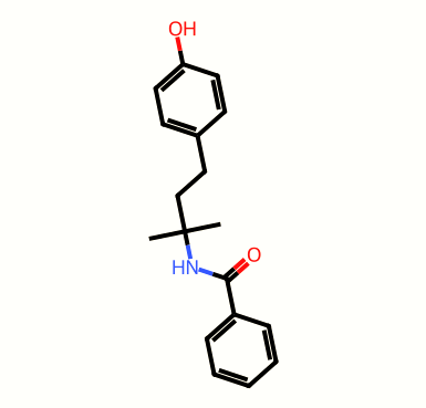 CC(C)(CCc1ccc(O)cc1)NC(=O)c1ccccc1